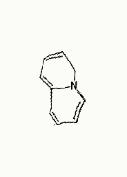 [C]1=CC2=CC=CCN2C=C1